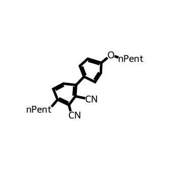 CCCCCOc1ccc(-c2ccc(CCCCC)c(C#N)c2C#N)cc1